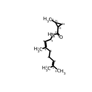 CC(C)=CCCC(C)=CCNC(=O)C1CC1C